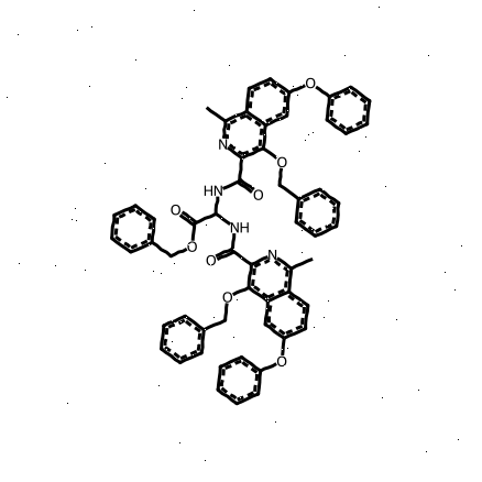 Cc1nc(C(=O)NC(NC(=O)c2nc(C)c3ccc(Oc4ccccc4)cc3c2OCc2ccccc2)C(=O)OCc2ccccc2)c(OCc2ccccc2)c2cc(Oc3ccccc3)ccc12